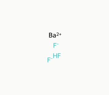 F.[Ba+2].[F-].[F-]